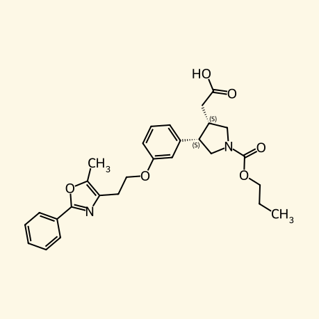 CCCOC(=O)N1C[C@@H](CC(=O)O)[C@@H](c2cccc(OCCc3nc(-c4ccccc4)oc3C)c2)C1